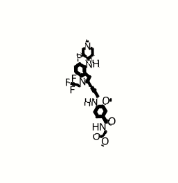 COC(=O)CNC(=O)c1ccc(NCC#Cc2cc3c(N[C@@H]4CCN(C)C[C@@H]4F)cccc3n2CC(F)(F)F)c(OC)c1